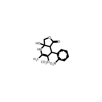 CCOC(=O)C1=C(C)NC2(O)COC(=O)C2C1c1ccccc1[N+](=O)[O-]